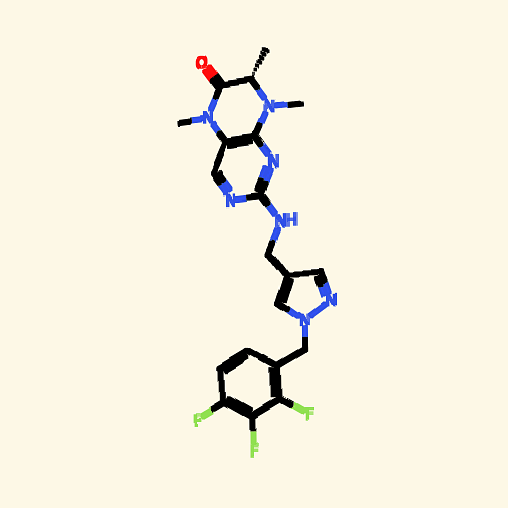 C[C@H]1C(=O)N(C)c2cnc(NCc3cnn(Cc4ccc(F)c(F)c4F)c3)nc2N1C